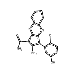 NC(=O)c1c(N)n(-c2cc(O)ccc2Cl)c2nc3ccccc3nc12